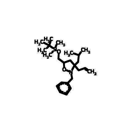 C=CCC1(CC(C)C)CC(CO[Si](C)(C)C(C)(C)C)ON1Cc1ccccc1